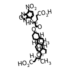 C[C@H](CCC(=O)O)[C@H]1CC[C@H]2[C@@H]3CC[C@@H]4C[C@H](OC(=O)[C@H](CCC(=O)O)Nc5ccc([N+](=O)[O-])c6nonc56)CC[C@]4(C)[C@H]3CC[C@]12C